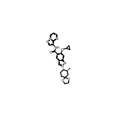 C[C@H]1CC2(CC[C@@H]1n1cc3cc(C(=O)Nc4cnn5cccnc45)c(OC4CC4)cc3n1)OCCO2